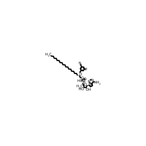 CCCCCCCCCCCCCCCCCCCC[C@@H](COP(=O)(O)OC[C@@]1(C)O[C@@H](c2ccc3c(N)ncnn23)[C@H](O)[C@@H]1O)OCc1cc(F)cc(C#N)c1